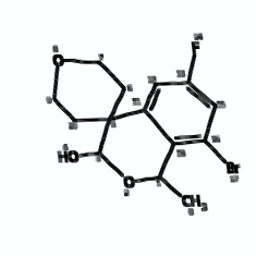 CC1OC(O)C2(CCOCC2)c2cc(F)cc(Br)c21